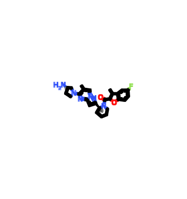 Cc1cn2nc([C@@H]3CCCCN3C(=O)C3Oc4ccc(F)cc4C3C)cc2nc1N1CC[C@H](N)C1